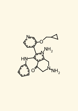 NN1CC(=O)c2c(Nc3ccccc3)c(-c3ccncc3OCC3CC3)n(N)c2C1